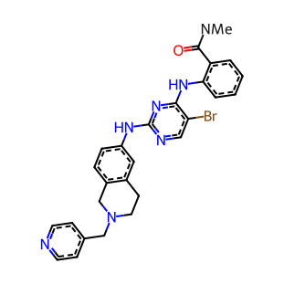 CNC(=O)c1ccccc1Nc1nc(Nc2ccc3c(c2)CCN(Cc2ccncc2)C3)ncc1Br